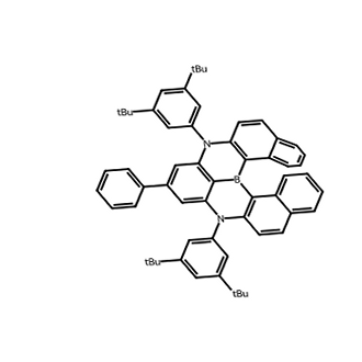 CC(C)(C)c1cc(N2c3cc(-c4ccccc4)cc4c3B(c3c2ccc2ccccc32)c2c(ccc3ccccc23)N4c2cc(C(C)(C)C)cc(C(C)(C)C)c2)cc(C(C)(C)C)c1